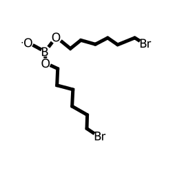 [O]B(OCCCCCCBr)OCCCCCCBr